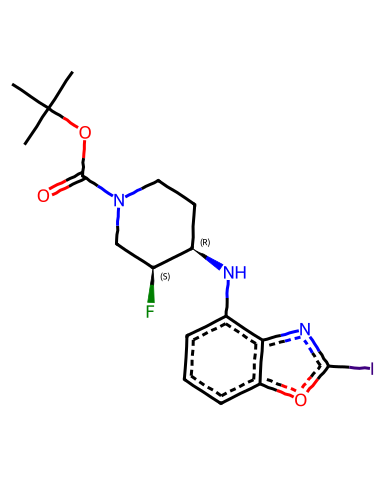 CC(C)(C)OC(=O)N1CC[C@@H](Nc2cccc3oc(I)nc23)[C@@H](F)C1